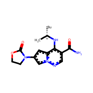 C[C@@H](Nc1c(C(N)=O)cnn2cc(N3CCOC3=O)cc12)C(C)(C)C